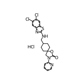 Cl.O=C1OC2(CCC(CNc3nc4cc(Cl)c(Cl)cc4s3)CC2)CN1c1ccccn1